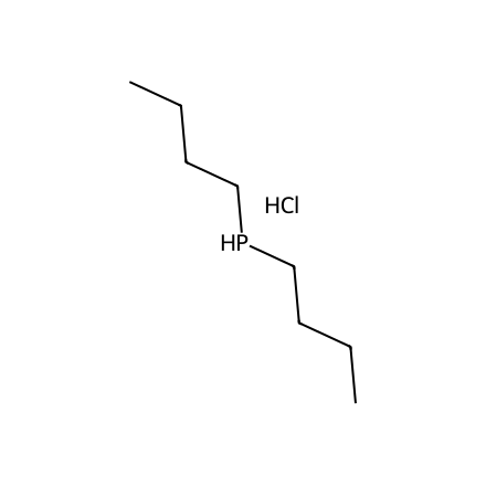 CCCCPCCCC.Cl